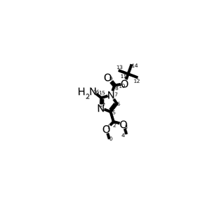 COC(OC)c1cn(C(=O)OC(C)(C)C)c(N)n1